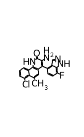 Cc1cc2c(-c3ccc(F)c4[nH]ncc34)c(N)c(=O)[nH]c2c2cccc(Cl)c12